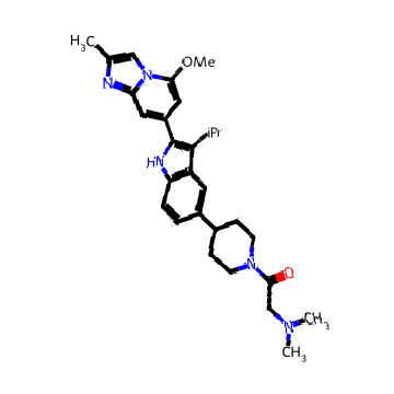 COc1cc(-c2[nH]c3ccc(C4CCN(C(=O)CN(C)C)CC4)cc3c2C(C)C)cc2nc(C)cn12